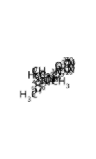 CCO[C@@H]1Cc2cc(C)ccc2[C@H]1N1CCN(C2(C)CCN(C(=O)c3ccnc4ncccc34)CC2)C[C@@H]1C